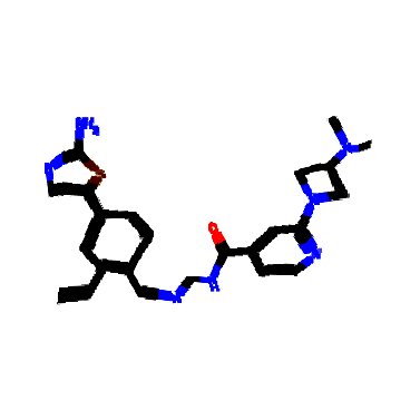 C=Cc1cc(-c2cnc(N)s2)ccc1/C=N\CNC(=O)c1ccnc(N2CC(N(C)C)C2)c1